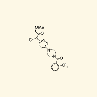 COCC(=O)N(c1ccc(N2CCN(C(=O)c3ccccc3C(F)(F)F)CC2)nn1)C1CC1